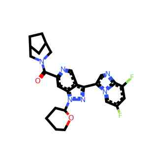 O=C(c1cc2c(cn1)c(-c1cnc3c(F)cc(F)cn13)nn2C1CCCCO1)N1CC2CCC(C2)C1